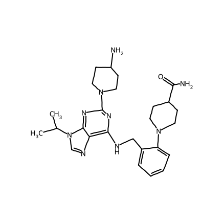 CC(C)n1cnc2c(NCc3ccccc3N3CCC(C(N)=O)CC3)nc(N3CCC(N)CC3)nc21